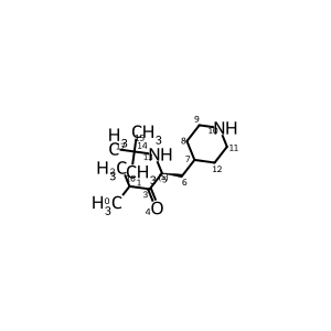 CC(C)C(=O)[C@H](CC1CCNCC1)NC(C)(C)C